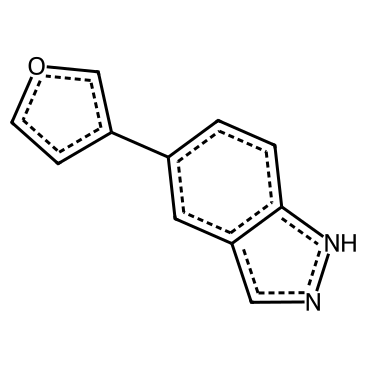 c1cc(-c2ccc3[nH]ncc3c2)co1